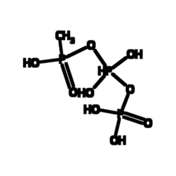 CP(=O)(O)O[PH](O)(O)OP(=O)(O)O